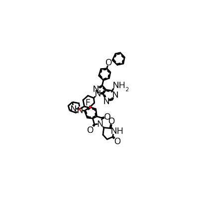 Nc1ncnc2c1c(-c1ccc(Oc3ccccc3)cc1)nn2C1CCC(CN2C3CC2CN(c2cc4c(cc2F)C(=O)N(C2CCC(=O)NC2=O)C4=O)C3)CC1